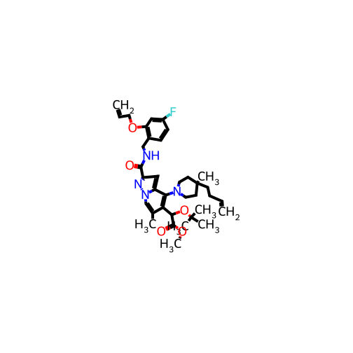 C=CCCC1(C)CCN(c2c(C(OC(C)(C)C)C(=O)OC)c(C)cn3nc(C(=O)NCc4ccc(F)cc4OCC=C)cc23)CC1